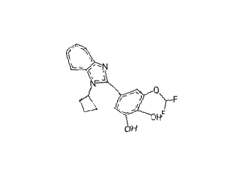 Oc1cc(-c2nc3ccccc3n2C2CCC2)cc(OC(F)F)c1O